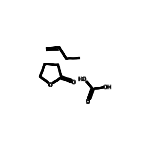 C=CCC.O=C(O)O.O=C1CCCO1